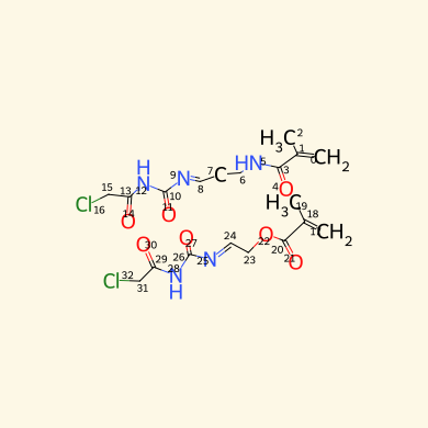 C=C(C)C(=O)NCCC=NC(=O)NC(=O)CCl.C=C(C)C(=O)OCC=NC(=O)NC(=O)CCl